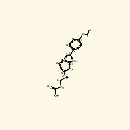 CCOc1ccc(-c2cn3ccc(NCCC(=O)O)cc3n2)cc1